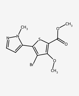 COC(=O)c1sc(-c2ccnn2C)c(Br)c1OC